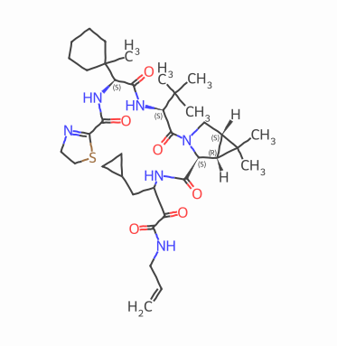 C=CCNC(=O)C(=O)C(CC1CC1)NC(=O)[C@@H]1[C@@H]2[C@H](CN1C(=O)[C@@H](NC(=O)[C@@H](NC(=O)C1=NCCS1)C1(C)CCCCC1)C(C)(C)C)C2(C)C